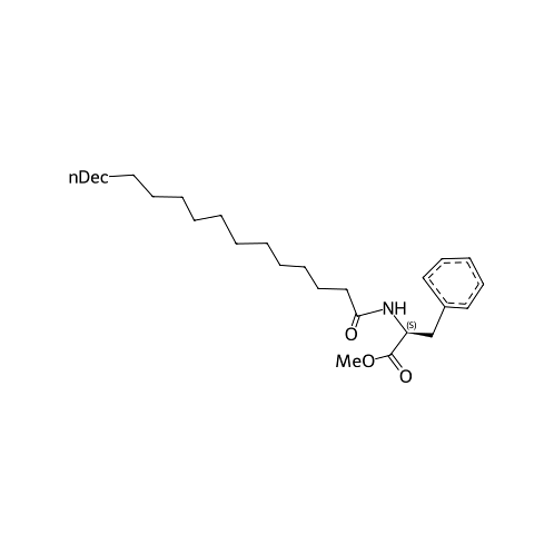 CCCCCCCCCCCCCCCCCCCCCC(=O)N[C@@H](Cc1ccccc1)C(=O)OC